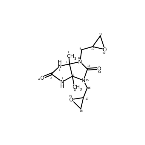 CC12NC(=O)NC1(C)N(CC1CO1)C(=O)N2CC1CO1